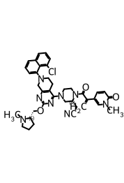 C=C(C(=O)N1CCN(c2nc(OC[C@@H]3CCCN3C)nc3c2CCN(c2cccc4cccc(Cl)c24)C3)C[C@@H]1CC#N)c1ccc(=O)n(C)c1